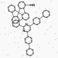 N#Cc1cccc2c1-c1cccc(-c3ccccc3-c3nc(-c4ccc(-c5ccccc5)cc4)cc(-c4ccc(-c5ccccc5)cc4)n3)c1C21c2ccccc2-c2ccccc21